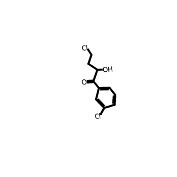 O=C(c1cccc(Cl)c1)C(O)CCCl